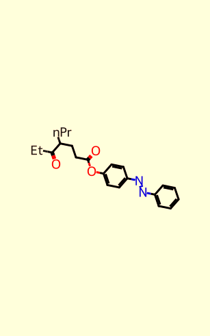 CCCC(CCC(=O)Oc1ccc(N=Nc2ccccc2)cc1)C(=O)CC